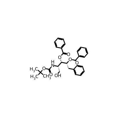 CC(C)(C)OC(=O)N[C@@H](CO)[C@H](OC(=O)c1ccccc1)[C@@H](Cc1ccccc1)OC(=O)c1ccccc1